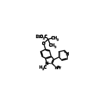 CCCc1c(-c2ccncc2)c2cc(OC(C)(C)C(=O)OCC)ccc2n1C